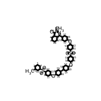 Cc1cccc(S(=O)(=O)c2ccc(Oc3ccc(-c4ccc(Oc5ccc(S(=O)(=O)c6ccc(Oc7ccc(-c8nn(C)c(=O)c9ccccc89)cc7)cc6)cc5)cc4)cc3)cc2)c1